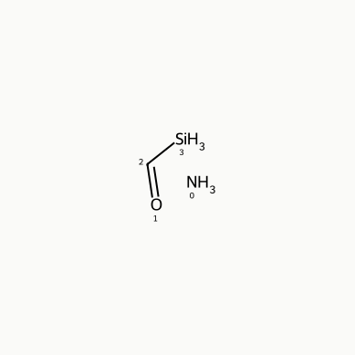 N.O=C[SiH3]